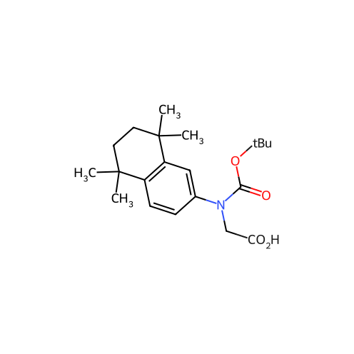 CC(C)(C)OC(=O)N(CC(=O)O)c1ccc2c(c1)C(C)(C)CCC2(C)C